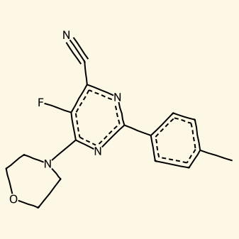 Cc1ccc(-c2nc(C#N)c(F)c(N3CCOCC3)n2)cc1